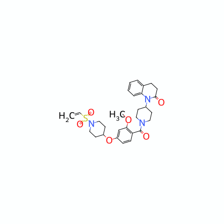 C=CS(=O)(=O)N1CCC(Oc2ccc(C(=O)N3CCC(N4C(=O)CCc5ccccc54)CC3)c(OC)c2)CC1